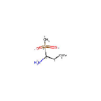 COCC(N)S(C)(=O)=O